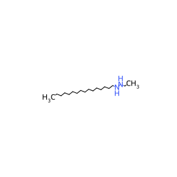 CCCCCCCCCCCCCCCCNNCC